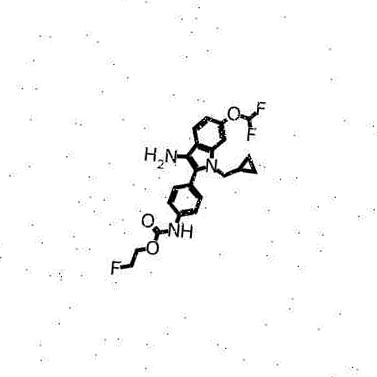 Nc1c(-c2ccc(NC(=O)OCCF)cc2)n(CC2CC2)c2cc(OC(F)F)ccc12